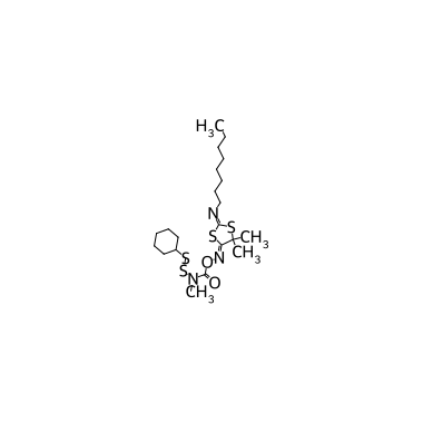 CCCCCCCCN=C1SC(=NOC(=O)N(C)SSC2CCCCC2)C(C)(C)S1